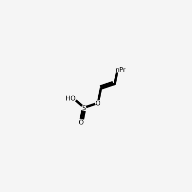 CCCC=COS(=O)O